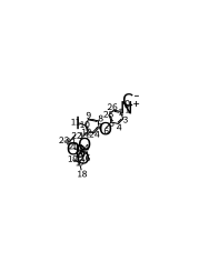 [C-]#[N+]c1ccc(Oc2ccc(I)c(COB(OC(C)C)OC(C)C)c2)cc1